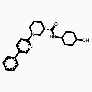 O=C(NC1CCC(O)CC1)[C@H]1CCCN(c2ccc(-c3ccccc3)cn2)C1